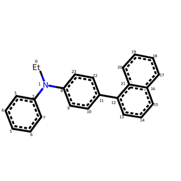 CCN(c1ccccc1)c1ccc(-c2cccc3ccccc23)cc1